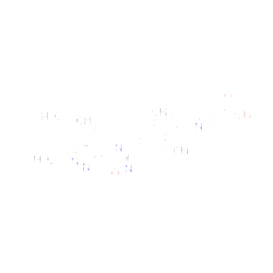 CCn1nc(-c2nc(-c3cc(C)c(CCN4CC(C(=O)O)C4)c(C)c3)no2)cc1CC(C)C